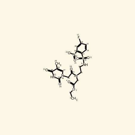 CCOC(=O)CN(CCNS(=O)(=O)c1ccc(F)cc1[N+](=O)[O-])C(=O)Cn1cc(C)c(=O)[nH]c1=O